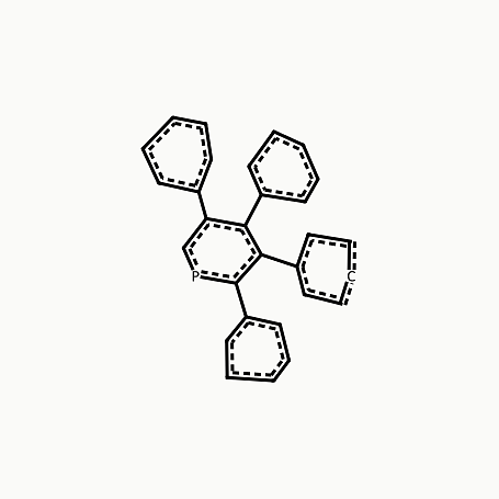 c1ccc(-c2cpc(-c3ccccc3)c(-c3ccccc3)c2-c2ccccc2)cc1